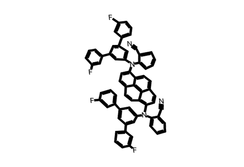 N#Cc1ccccc1N(c1cc(-c2cccc(F)c2)cc(-c2cccc(F)c2)c1)c1ccc2ccc3c(N(c4cc(-c5cccc(F)c5)cc(-c5cccc(F)c5)c4)c4ccccc4C#N)ccc4ccc1c2c43